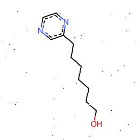 OCCCCCCCc1cnccn1